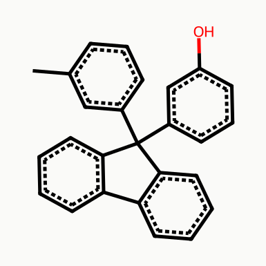 Cc1cccc(C2(c3cccc(O)c3)c3ccccc3-c3ccccc32)c1